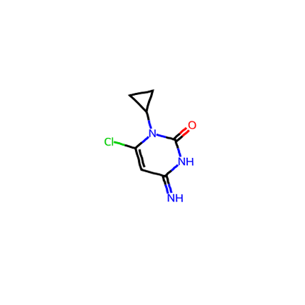 N=c1cc(Cl)n(C2CC2)c(=O)[nH]1